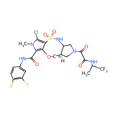 CC(NC(=O)C(=O)N1CC2NS(=O)(=O)c3c(c(C(=O)Nc4ccc(F)c(F)c4)n(C)c3Cl)OC[C@@H]2C1)C(F)(F)F